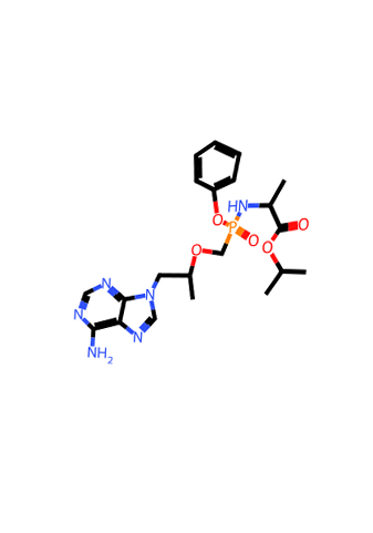 CC(C)OC(=O)C(C)NP(=O)(COC(C)Cn1cnc2c(N)ncnc21)Oc1ccccc1